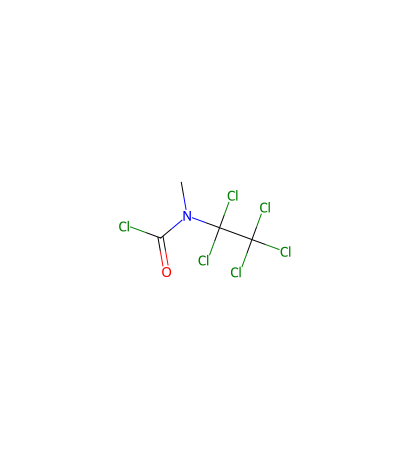 CN(C(=O)Cl)C(Cl)(Cl)C(Cl)(Cl)Cl